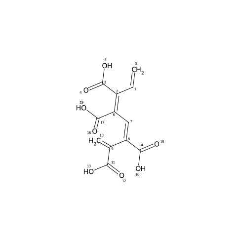 C=C/C(C(=O)O)=C(\C=C(/C(=C)C(=O)O)C(=O)O)C(=O)O